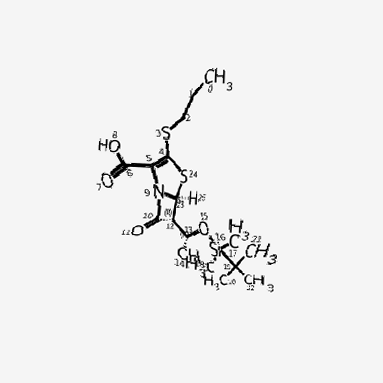 CCCSC1=C(C(=O)O)N2C(=O)[C@@H]([C@@H](C)O[Si](C)(C)C(C)(C)C)[C@@H]2S1